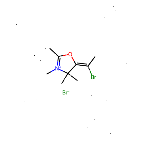 CC(Br)=C1OC(C)=[N+](C)C1(C)C.[Br-]